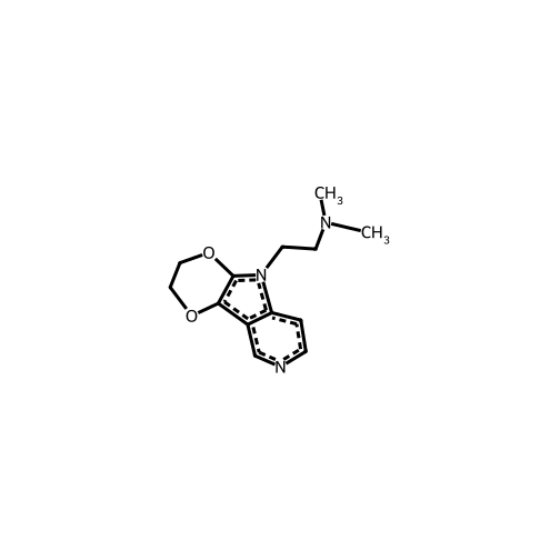 CN(C)CCn1c2c(c3cnccc31)OCCO2